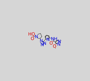 COc1nn(C)cc1C(=O)Nc1cccc(-c2nncn2C2CCCN(C(=O)O)C2)n1